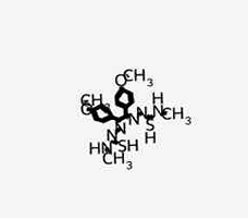 CN/C(S)=N/N=C(/C(=N/N=C(\S)NC)c1ccc(OC)cc1)c1ccc(OC)cc1